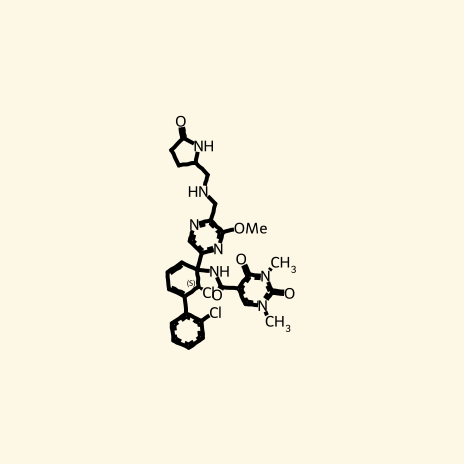 COc1nc(C2(NC(=O)c3cn(C)c(=O)n(C)c3=O)C=CC=C(c3ccccc3Cl)[C@@H]2Cl)cnc1CNCC1CCC(=O)N1